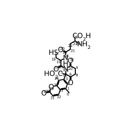 Cc1cc([C@@]2(C(=O)O)C(=O)CCC(=O)N2C(=O)C(CS)NC(=O)CCC(N)C(=O)O)cc2oc(=O)ccc12